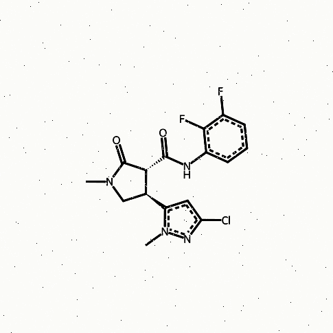 CN1C[C@H](c2cc(Cl)nn2C)[C@@H](C(=O)Nc2cccc(F)c2F)C1=O